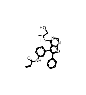 C=CC(=O)Nc1cccc(-c2c(-c3ccccc3)oc3ncnc(N[C@@H](C)CO)c23)c1